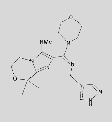 CNc1c(/C(=N\Cc2cn[nH]c2)N2CCOCC2)nc2n1CCOC2(C)C